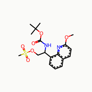 COc1ccc2cccc(C(COS(C)(=O)=O)NC(=O)OC(C)(C)C)c2n1